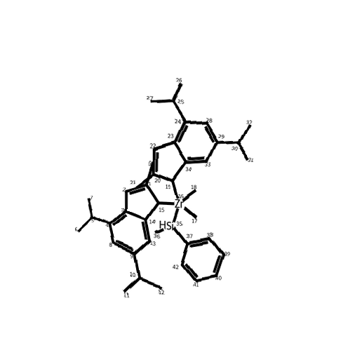 CC1=Cc2c(C(C)C)cc(C(C)C)cc2[CH]1[Zr]([CH3])([CH3])([CH]1C(C)=Cc2c(C(C)C)cc(C(C)C)cc21)[SiH](C)c1ccccc1